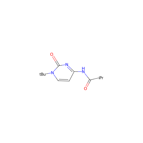 CC(C)C(=O)Nc1ccn(C(C)(C)C)c(=O)n1